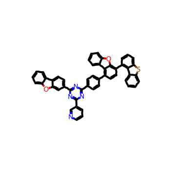 c1cncc(-c2nc(-c3ccc(-c4ccc(-c5cccc6sc7ccccc7c56)c5oc6ccccc6c45)cc3)nc(-c3ccc4c(c3)oc3ccccc34)n2)c1